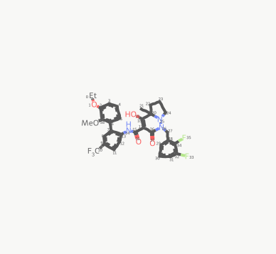 CCOc1cccc(-c2cc(C(F)(F)F)ccc2NC(=O)C2=C(O)C3(C)CCCN3N(Cc3cccc(F)c3F)C2=O)c1OC